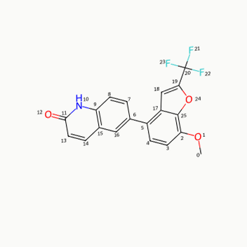 COc1ccc(-c2ccc3[nH]c(=O)ccc3c2)c2cc(C(F)(F)F)oc12